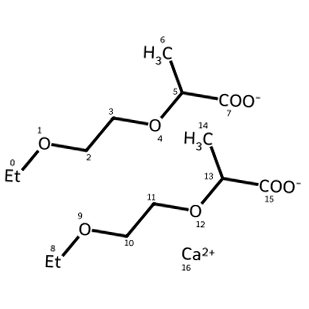 CCOCCOC(C)C(=O)[O-].CCOCCOC(C)C(=O)[O-].[Ca+2]